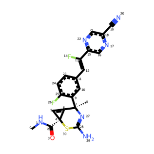 CNC(=O)[C@]12C=C1[C@@](C)(c1cc(/C=C(\F)c3cnc(C#N)cn3)ccc1F)N=C(N)S2